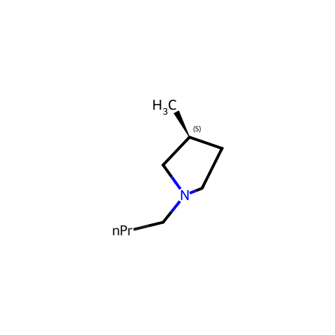 CCCCN1CC[C@H](C)C1